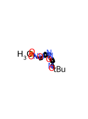 CC(C)(C)c1cc(-c2cccc(Oc3ncnc4ccc(-c5ccc(CNCCS(C)(=O)=O)o5)cc34)c2)no1